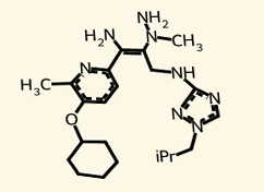 Cc1nc(/C(N)=C(\CNc2ncn(CC(C)C)n2)N(C)N)ccc1OC1CCCCC1